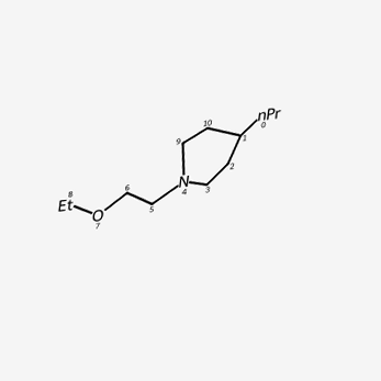 CCCC1CCN(CCOCC)CC1